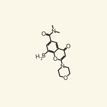 Bc1cc(C(=O)N(C)C)cc2c(=O)cc(N3CCOCC3)oc12